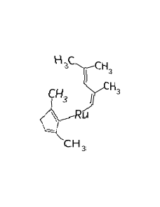 CC(C)=CC(C)=[CH][Ru][C]1=C(C)CC=C1C